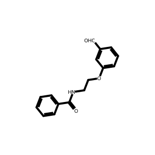 O=Cc1cccc(OCCNC(=O)c2ccccc2)c1